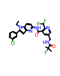 CCn1c(-c2cccc(Cl)c2)cc2nc(NC(=O)c3cc(CNC(=O)C(C)(C)F)cnc3C(F)F)ccc21